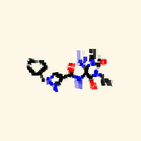 CC(C)Cn1c(=O)c(NC(=O)c2cnn(Cc3ccccc3)c2)c(N)n(C)c1=O